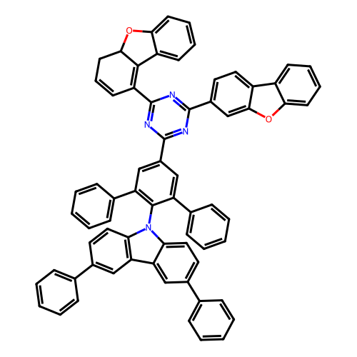 C1=CC(c2nc(-c3cc(-c4ccccc4)c(-n4c5ccc(-c6ccccc6)cc5c5cc(-c6ccccc6)ccc54)c(-c4ccccc4)c3)nc(-c3ccc4c(c3)oc3ccccc34)n2)=C2c3ccccc3OC2C1